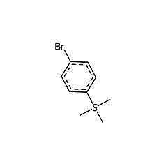 CS(C)(C)c1ccc(Br)cc1